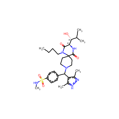 CCCCN1C(=O)[C@@H]([C@H](O)C(C)C)NC(=O)C12CCN(C(c1ccc(S(=O)(=O)NC)cc1)c1c(C)n[nH]c1C)CC2